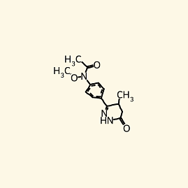 CON(C(C)=O)c1ccc(C2=NNC(=O)CC2C)cc1